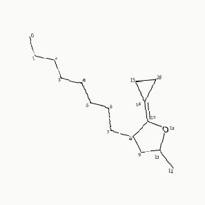 CCCCCCCCC1CC(C)OC1=C1CC1